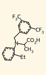 CCc1ccccc1N(Cc1cc(C(F)(F)F)cc(C(F)(F)F)c1)C(C)C(=O)O